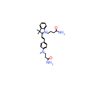 CN(CCC(N)=O)c1ccc(/C=C/C2=[N+](CCCC(N)=O)c3ccccc3C2(C)C)cc1